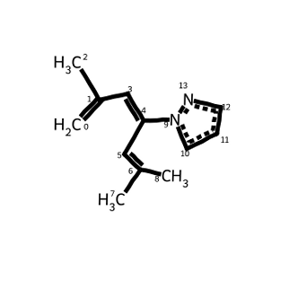 C=C(C)/C=C(\C=C(C)C)n1cccn1